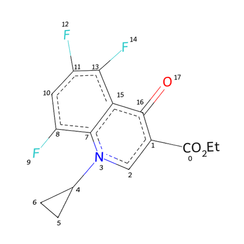 CCOC(=O)c1cn(C2CC2)c2c(F)cc(F)c(F)c2c1=O